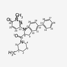 CC1CCCN(C(=O)C2Cc3cc(-c4ccccc4)ccc3N2c2ccc(=O)n(C)n2)C1